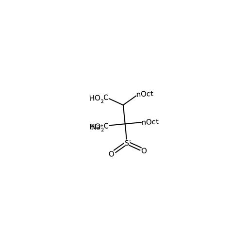 CCCCCCCCC(C(=O)O)C(CCCCCCCC)(C(=O)O)[S-](=O)=O.[Na+]